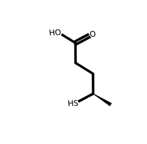 C[C@@H](S)CCC(=O)O